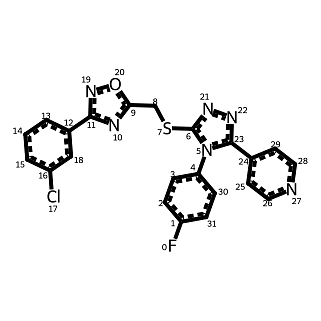 Fc1ccc(-n2c(SCc3nc(-c4cccc(Cl)c4)no3)nnc2-c2ccncc2)cc1